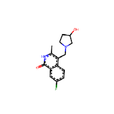 Cc1[nH]c(=O)c2cc(F)ccc2c1CN1CCC(O)C1